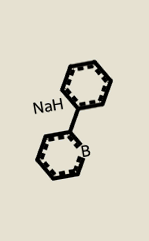 [NaH].b1ccccc1-c1ccccc1